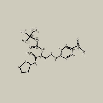 C=C(OC1CCCC1)[C@H](CCOc1ccc([N+](=O)[O-])cc1)NC(=O)OC(C)(C)C